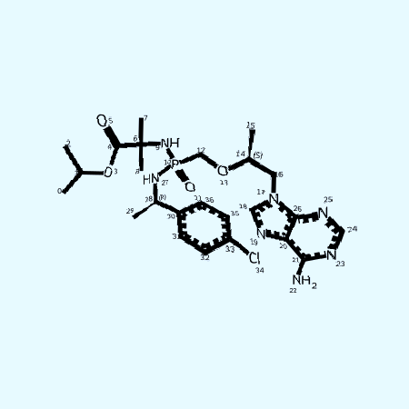 CC(C)OC(=O)C(C)(C)NP(=O)(CO[C@@H](C)Cn1cnc2c(N)ncnc21)N[C@H](C)c1ccc(Cl)cc1